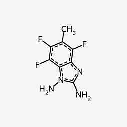 Cc1c(F)c(F)c2c(nc(N)n2N)c1F